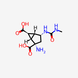 CNC(=O)N[C@@H]1C[C@@](N)(C(=O)O)[C@@H]2[C@@H](C(=O)O)[C@@H]21